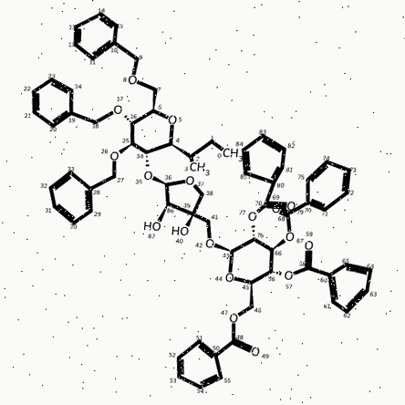 CCC(C)[C@@H]1O[C@H](COCc2ccccc2)[C@@H](OCc2ccccc2)[C@H](OCc2ccccc2)[C@H]1O[C@H]1OC[C@](O)(CO[C@@H]2O[C@H](COC(=O)c3ccccc3)[C@@H](OC(=O)c3ccccc3)[C@H](OC(=O)c3ccccc3)[C@H]2OC(=O)c2ccccc2)[C@H]1O